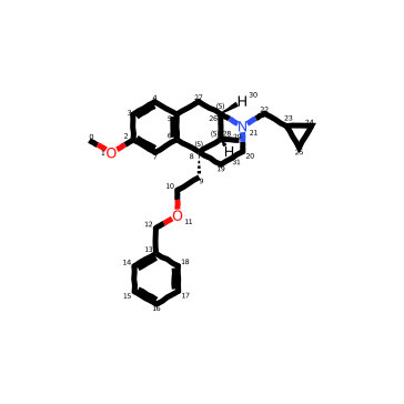 COc1ccc2c(c1)[C@]1(CCOCc3ccccc3)CCN(CC3CC3)[C@@H](C2)[C@H]1C